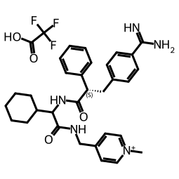 C[n+]1ccc(CNC(=O)C(NC(=O)[C@@H](Cc2ccc(C(=N)N)cc2)c2ccccc2)C2CCCCC2)cc1.O=C(O)C(F)(F)F